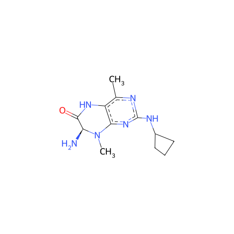 Cc1nc(NC2CCC2)nc2c1NC(=O)[C@H](N)N2C